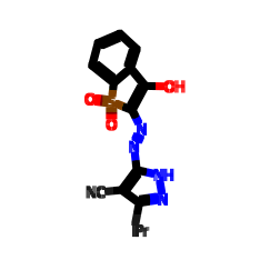 CC(C)c1n[nH]c(/N=N/C2=C(O)c3ccccc3S2(=O)=O)c1C#N